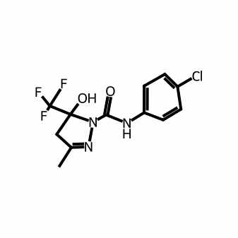 CC1=NN(C(=O)Nc2ccc(Cl)cc2)C(O)(C(F)(F)F)C1